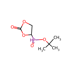 CC(C)(C)O[PH](=O)C1COC(=O)O1